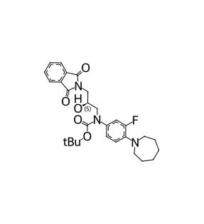 CC(C)(C)OC(=O)N(C[C@@H](O)CN1C(=O)c2ccccc2C1=O)c1ccc(N2CCCCCC2)c(F)c1